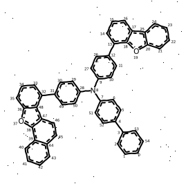 c1ccc(-c2ccc(N(c3ccc(-c4cccc5c4oc4ccccc45)cc3)c3ccc(-c4cccc5oc6c7ccccc7ccc6c45)cc3)cc2)cc1